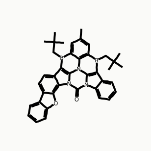 Cc1cc2c3c(c1)B(CC(C)(C)C)c1c4ccc5c6ccccc6oc5c4n4c(=O)n5c6ccccc6c(c5n-3c14)B2CC(C)(C)C